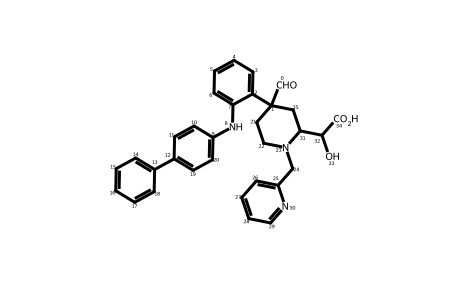 O=CC1(c2ccccc2Nc2ccc(-c3ccccc3)cc2)CCN(Cc2ccccn2)C(C(O)C(=O)O)C1